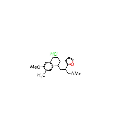 CNCC(CC1CCCc2cc(OC)c(C)cc21)c1ccco1.Cl